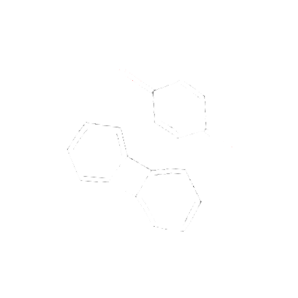 O=C1C=CC(=O)C=C1.c1ccc2c(c1)-c1ccccc1-2